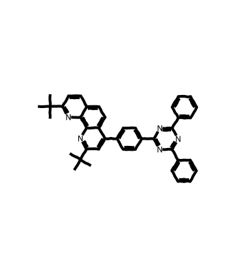 CC(C)(C)c1ccc2ccc3c(-c4ccc(-c5nc(-c6ccccc6)nc(-c6ccccc6)n5)cc4)cc(C(C)(C)C)nc3c2n1